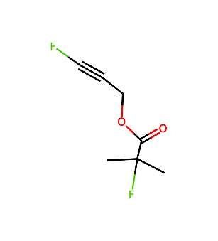 CC(C)(F)C(=O)OCC#CF